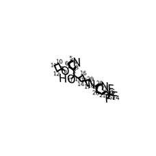 OC(c1cnccc1OC1CCC1)C1CC2(C1)CN(c1ccc(C(F)(F)F)nc1)C2